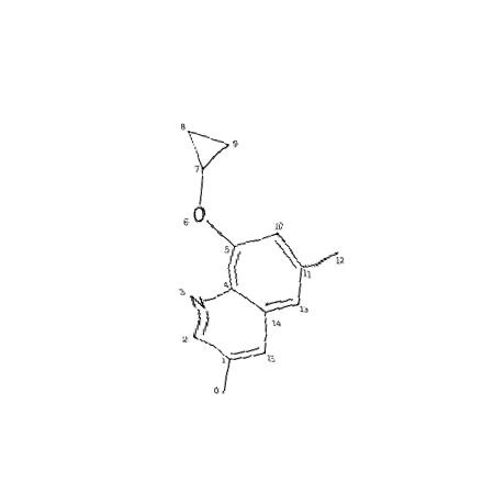 Cc1cnc2c(OC3CC3)cc(C)cc2c1